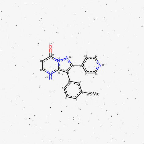 COc1cccc(-c2c(-c3ccncc3)nn3c(=O)cc[nH]c23)c1